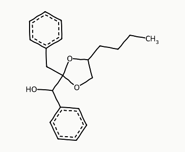 CCCCC1COC(Cc2ccccc2)(C(O)c2ccccc2)O1